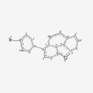 Brc1ccc(-c2ccc3oc4cccc5ccc2c3c54)cc1